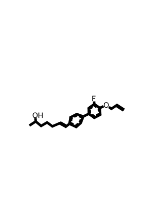 C=CCOc1ccc(-c2ccc(C=CCCCC(C)O)cc2)cc1F